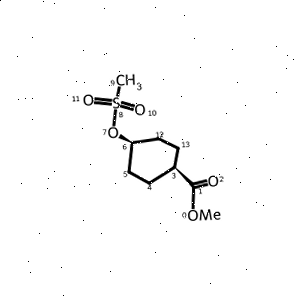 COC(=O)[C@H]1CC[C@@H](OS(C)(=O)=O)CC1